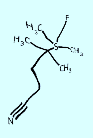 CC(C)(CCC#N)S(C)(C)F